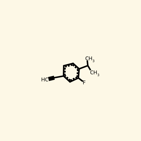 C#Cc1ccc(C(C)C)c(F)c1